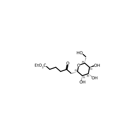 CCOC(=O)CCCC(=O)C[C@@H]1O[C@H](CO)[C@@H](O)[C@H](O)[C@@H]1O